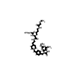 CCCCCCCC(=O)N[C@@H](CCCCNC(=O)CON)C(=O)NCCC1CCN(Cc2ccc(Cn3c(=O)[nH]c4c(N)nc(OCCCC)nc43)cc2)CC1